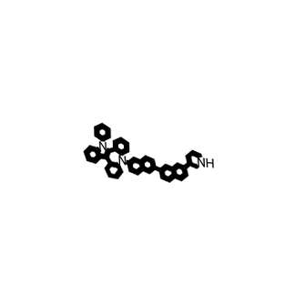 C1=CNCC(c2ccc3ccc(-c4ccc5cc(N6C7=C(CCC=C7)c7c(n(-c8ccccc8)c8ccccc78)-c7ccccc76)ccc5c4)cc3c2)=C1